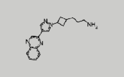 NCCCC1CC(n2cc(-c3cnc4ccccc4n3)cn2)C1